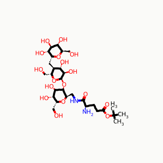 CC(C)(C)OC(=O)CC[C@H](N)C(=O)NC[C@H]1O[C@H](CO)[C@H](O)[C@@H](O)[C@@H]1O[C@H]1O[C@H](CO)[C@@H](C[C@H]2O[C@H](CO)[C@@H](O)[C@H](O)[C@H]2O)[C@H](O)[C@H]1O